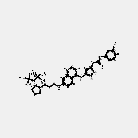 CC(C)(C)C([C@H]1CCCN1CCCOc1ccc2c(Nc3cc(CC(=O)Nc4cccc(F)c4)[nH]n3)ncnc2c1)C(C)(C)C